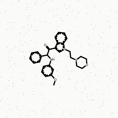 COc1cccc(NC(C(=O)c2cn(CCN3CCOCC3)c3ccccc23)c2ccccc2)c1